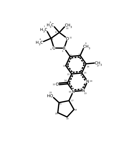 Cc1c(B2OC(C)(C)C(C)(C)O2)cc2c(=O)n(C3CCCC3O)nnc2c1C